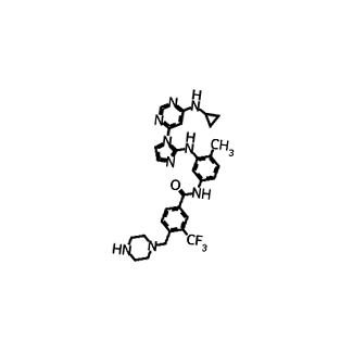 Cc1ccc(NC(=O)c2ccc(CN3CCNCC3)c(C(F)(F)F)c2)cc1Nc1nccn1-c1cc(NC2CC2)ncn1